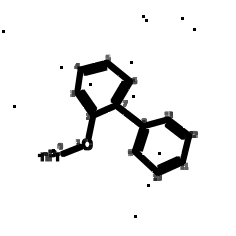 C[CH][CH]Oc1ccccc1-c1ccccc1